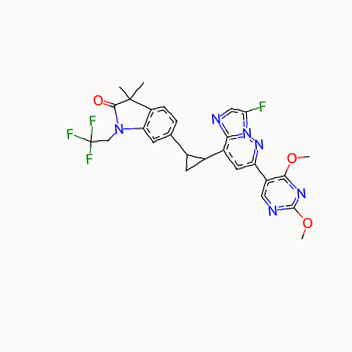 COc1ncc(-c2cc(C3CC3c3ccc4c(c3)N(CC(F)(F)F)C(=O)C4(C)C)c3ncc(F)n3n2)c(OC)n1